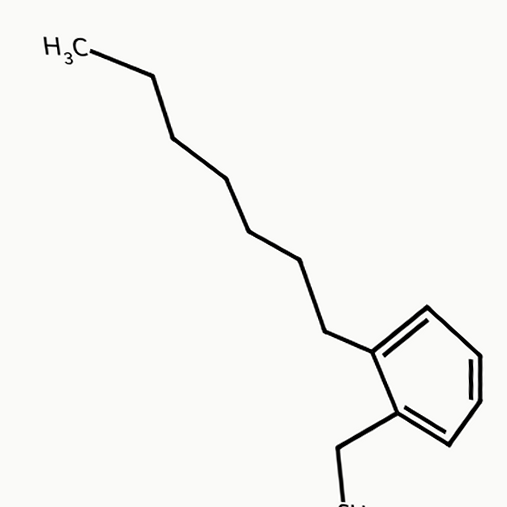 CCCCCCCc1ccccc1CS